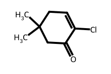 CC1(C)CC=C(Cl)C(=O)C1